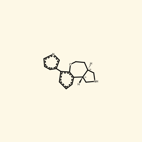 c1cncc(-c2cccc3c2OCC[C@H]2CNC[C@H]32)c1